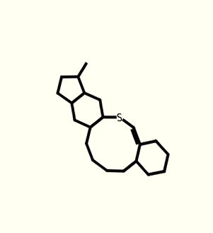 CC1CCC2CC3CCCCC4CCCC/C4=C/SC3CC12